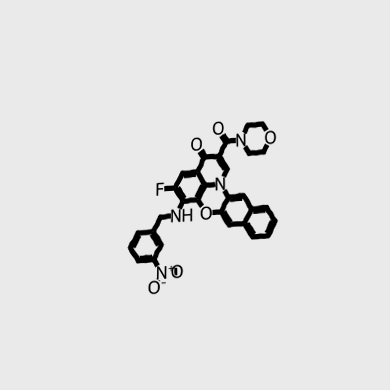 O=C(c1cn2c3c(c(NCc4cccc([N+](=O)[O-])c4)c(F)cc3c1=O)Oc1cc3ccccc3cc1-2)N1CCOCC1